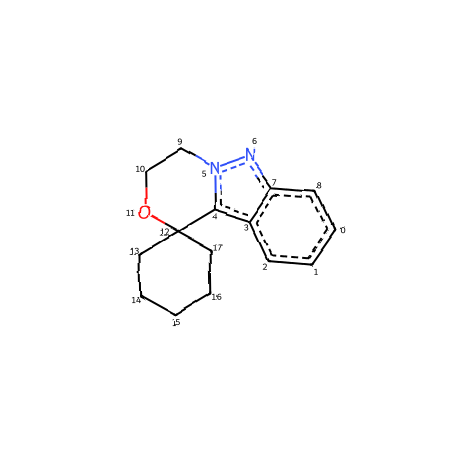 c1ccc2c3n(nc2c1)CCOC31CCCCC1